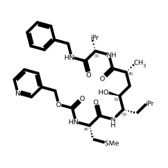 CSC[C@H](NC(=O)OCc1cccnc1)C(=O)N[C@@H](CC(C)C)[C@@H](O)C[C@@H](C)C(=O)N[C@H](C(=O)NCc1ccccc1)C(C)C